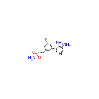 Nc1cncc(-c2cc(F)cc(CCS(N)(=O)=O)c2)c1N